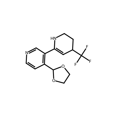 FC(F)(F)C1C=C(c2cnccc2C2OCCO2)NCC1